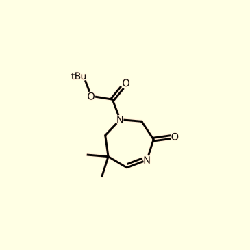 CC1(C)C=NC(=O)CN(C(=O)OC(C)(C)C)C1